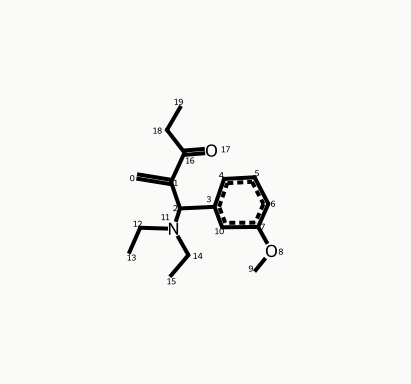 C=C([C](c1cccc(OC)c1)N(CC)CC)C(=O)CC